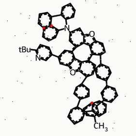 Cc1cccc(-c2cccc(-c3ccc(-c4ccc5oc6cc(N(c7ccccc7)c7ccccc7-c7ccccc7)cc7c8cc(-c9ccc(C(C)(C)C)nc9)cc9oc%10c(-c%11ccc(-c%12ccccc%12-c%12ccccc%12)cc%11)ccc(c4c5c67)c%10c98)cc3)c2)c1